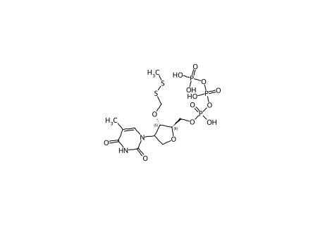 CSSCO[C@H]1C(n2cc(C)c(=O)[nH]c2=O)CO[C@@H]1COP(=O)(O)OP(=O)(O)OP(=O)(O)O